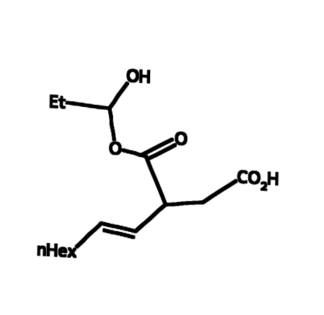 CCCCCCC=CC(CC(=O)O)C(=O)OC(O)CC